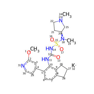 COc1cc(-c2ccc3c(c2NC(=O)NS(=O)(=O)N(C)[C@H]2CCN(C)C2)CCC3)ccn1.[K]